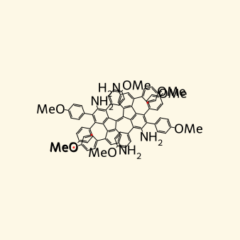 COc1ccc(-c2cc(N)cc3c2-c2c(c(-c4ccc(OC)cc4)c(N)c(-c4ccc(OC)cc4)c2-c2ccc(OC)cc2)/C3=C2\c3cc(N)cc(-c4ccc(OC)cc4)c3-c3c2c(-c2ccc(OC)cc2)c(N)c(-c2ccc(OC)cc2)c3-c2ccc(OC)cc2)cc1